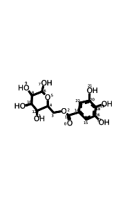 O=C(OCC1OC(O)C(O)C(O)C1O)c1cc(O)c(O)c(O)c1